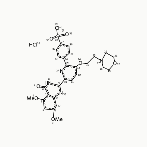 COc1cc(OC)c2c(=O)[nH]c(-c3ccc(OCCN4CCOCC4)c(-c4ccc(S(C)(=O)=O)cc4)n3)nc2c1.Cl